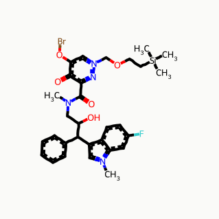 CN(CC(O)C(c1ccccc1)c1cn(C)c2cc(F)ccc12)C(=O)c1nn(COCC[Si](C)(C)C)cc(OBr)c1=O